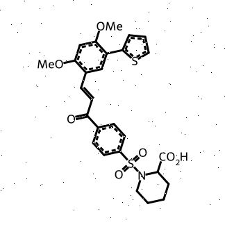 COc1cc(OC)c(-c2cccs2)cc1/C=C/C(=O)c1ccc(S(=O)(=O)N2CCCCC2C(=O)O)cc1